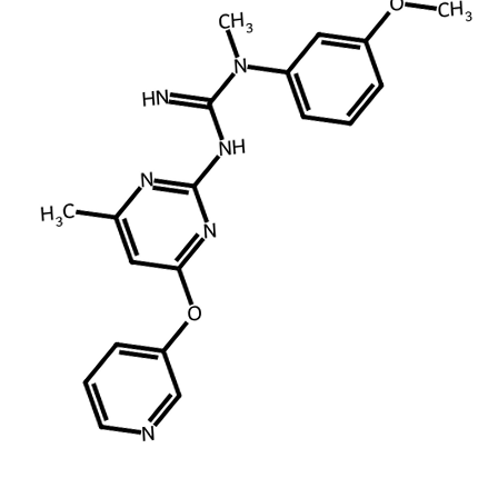 COc1cccc(N(C)C(=N)Nc2nc(C)cc(Oc3cccnc3)n2)c1